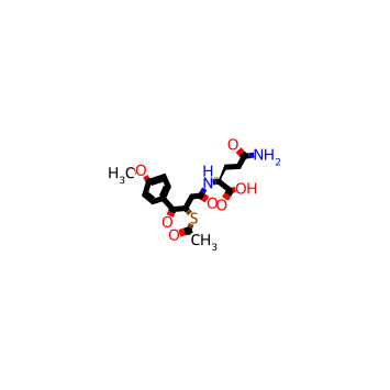 COc1ccc(C(=O)C(CC(=O)N[C@@H](CCC(N)=O)C(=O)O)SC(C)=O)cc1